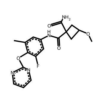 COC1CC(C(N)=O)(C(=O)Nc2cc(C)c(Oc3ncccn3)c(F)c2)C1